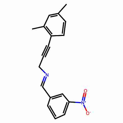 Cc1ccc(C#CCN=Cc2cccc([N+](=O)[O-])c2)c(C)c1